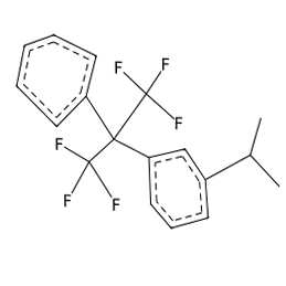 CC(C)c1cccc(C(c2ccccc2)(C(F)(F)F)C(F)(F)F)c1